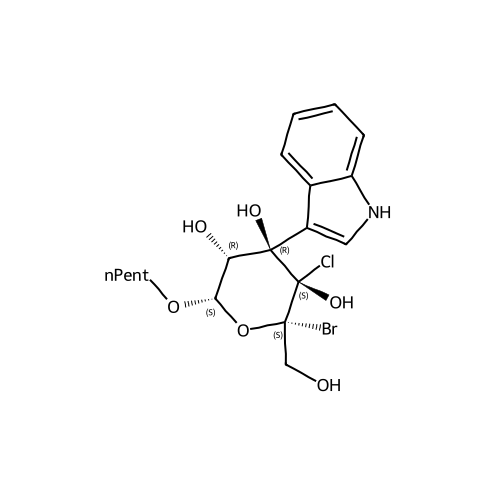 CCCCCO[C@H]1O[C@](Br)(CO)[C@@](O)(Cl)[C@@](O)(c2c[nH]c3ccccc23)[C@H]1O